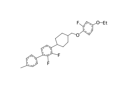 CCOc1ccc(OCC2CCC(c3ccc(-c4ccc(C)cc4)c(F)c3F)CC2)c(F)c1